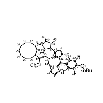 CCCCOc1c(F)c(F)c(C2=C3C=CC=[N+]3CC(/C=C(\CCl)C3CCCCCCCCC3)n3c2ccc3C2C(C)C(C)C(C)C2C)c(F)c1F